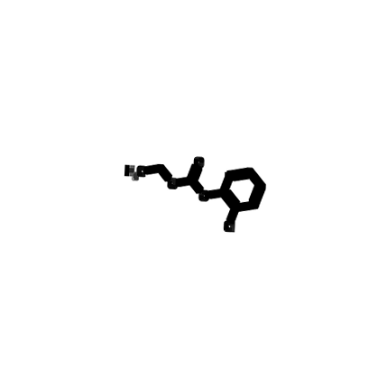 CCOC(=O)Oc1[c]cccc1Cl